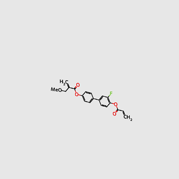 C=CC(=O)Oc1ccc(-c2ccc(OC(=O)C(=C)COC)cc2)cc1F